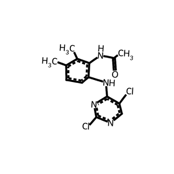 CC(=O)Nc1c(Nc2nc(Cl)ncc2Cl)ccc(C)c1C